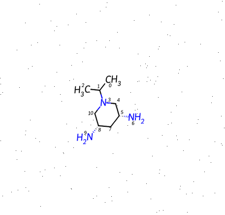 CC(C)N1C[C@H](N)C[C@H](N)C1